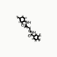 O=C(NOCC1CC1Nc1ccc(I)cc1Cl)c1ccc(F)c(F)c1